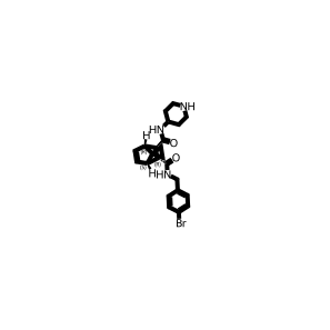 O=C(NC1CCNCC1)[C@H]1[C@H](C(=O)NCc2ccc(Br)cc2)[C@@H]2C=C[C@H]1C21CC1